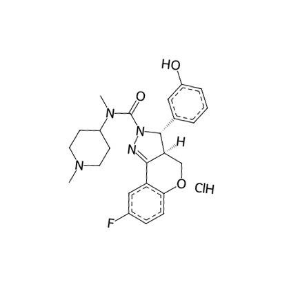 CN1CCC(N(C)C(=O)N2N=C3c4cc(F)ccc4OC[C@@H]3[C@H]2c2cccc(O)c2)CC1.Cl